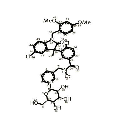 CCN(Cc1ccc[n+]([C@@H]2O[C@H](CO)[C@H](O)[C@H](O)[C@H]2O)c1)C(=O)c1ccc(Cl)c(C2(C)C(=O)N(Cc3ccc(OC)cc3OC)c3ccc(Cl)cc32)c1